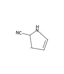 N#CC1[CH]C=CN1